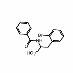 O=C(NC(Cc1ccccc1Br)C(=O)O)c1ccccc1